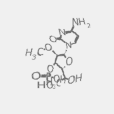 CO[C@@H]1[C@H](OP(=O)(O)O)[C@@H]([C@H](C)O)O[C@H]1n1ccc(N)nc1=O